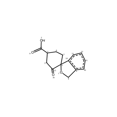 O=C(O)C1CCC2(OCc3ccccc32)C(=O)C1